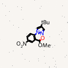 COC(=O)c1cc([N+](=O)[O-])ccc1-n1cc(C(C)(C)C)cn1